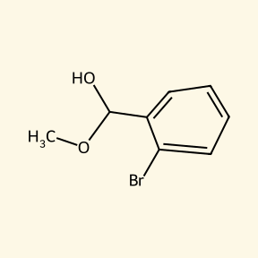 COC(O)c1ccccc1Br